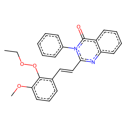 CCOOc1c(/C=C/c2nc3ccccc3c(=O)n2-c2ccccc2)cccc1OC